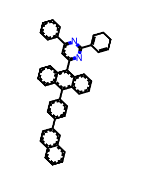 C1=CC(c2nc(-c3ccccc3)cc(-c3c4ccccc4c(-c4ccc(-c5ccc6ccccc6c5)cc4)c4ccccc34)n2)=CCC1